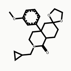 COc1cccc(C23CCN(CC4CC4)C(=O)C2CCC2(C3)OCCO2)c1